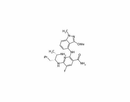 COc1nn(C)c2cccc(Nc3nc(N[C@H](CC(C)C)[C@H](C)N)c(F)cc3C(N)=O)c12